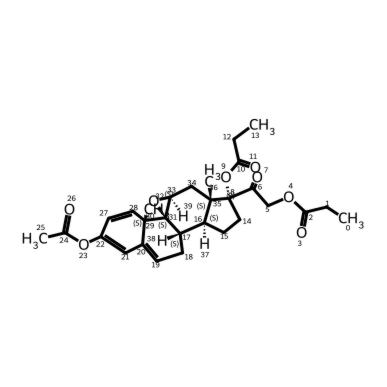 CCC(=O)OCC(=O)[C@@]1(OC(=O)CC)CC[C@H]2[C@@H]3CC=C4C=C(OC(C)=O)C=C[C@]4(C)[C@@]34O[C@H]4C[C@@]21C